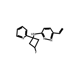 C=Cc1ccc(NC2(c3ccccn3)CC(F)C2)nn1